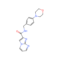 O=C(NCc1ccc(N2CCOCC2)cc1)c1cn2cccnc2n1